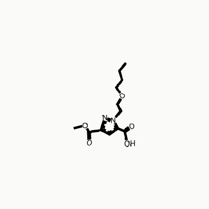 CCCCOCCn1nc(C(=O)OC)cc1C(=O)O